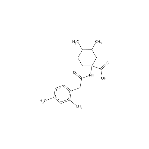 Cc1ccc(CC(=O)NC2(C(=O)O)CCC(C)C(C)C2)c(C)c1